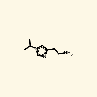 CC(C)n1cnc(CCN)c1